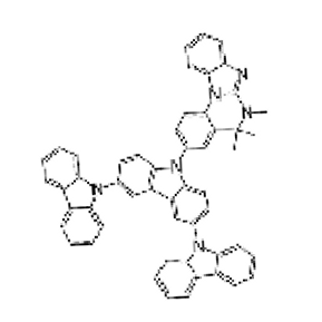 CN1c2nc3ccccc3n2-c2ccc(-n3c4ccc(-n5c6ccccc6c6ccccc65)cc4c4cc(-n5c6ccccc6c6ccccc65)ccc43)cc2C1(C)C